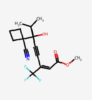 COC(=O)/C=C(\C#CC(O)(C(C)C)C1(C#N)CCC1)C(F)(F)F